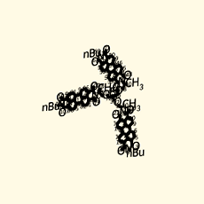 CCCCN1C(=O)c2ccc3c4ccc5c6c(ccc(c7ccc(c2c37)C1=O)c64)C(=O)N(C(C)COCC(CC)(COCC(C)N1C(=O)c2ccc3c4ccc6c7c(ccc(c8ccc(c2c38)C1=O)c74)C(=O)N(CCCC)C6=O)COCC(C)N1C(=O)c2ccc3c4ccc6c7c(ccc(c8ccc(c2c38)C1=O)c74)C(=O)N(CCCC)C6=O)C5=O